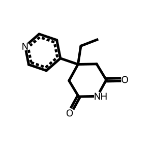 CCC1(c2ccncc2)CC(=O)NC(=O)C1